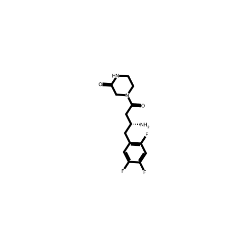 N[C@@H](CC(=O)N1CCNC(=O)C1)Cc1cc(F)c(F)cc1F